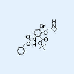 CC(C)(C)OC(=O)c1c(NC(=O)OCc2ccccc2)ccc(Br)c1OCC1CCN1